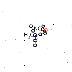 C=C1C=C(c2ccc(C3C=CC=CC3)cc2)N=C(c2ccc(-c3cccc4oc5c6ccccc6c(C#N)cc5c34)cc2)CC1C1=CCC(C2=CCCC=C2)C=C1